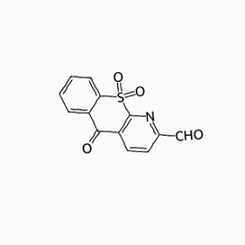 O=Cc1ccc2c(n1)S(=O)(=O)c1ccccc1C2=O